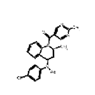 CC(=O)N(c1ccc(Cl)cc1)[C@@H]1C[C@H](C)N(C(=O)c2cnc(C)nc2)c2ccccc21